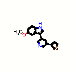 COc1ccc2[nH]cc(-c3cncc(-c4ccsc4)c3)c2c1